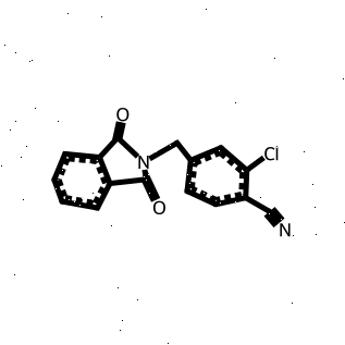 N#Cc1ccc(CN2C(=O)c3ccccc3C2=O)cc1Cl